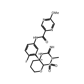 COc1cnc(C(=O)Nc2ccc(F)c([C@]34CCCOC3S(=O)(=O)N(C)C(=N)N4)c2)cn1